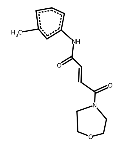 Cc1cccc(NC(=O)C=CC(=O)N2CCOCC2)c1